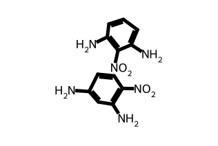 Nc1ccc([N+](=O)[O-])c(N)c1.Nc1cccc(N)c1[N+](=O)[O-]